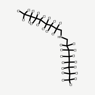 ClC(Cl)(Cl)C(Cl)(Cl)C(Cl)(Cl)C(Cl)(Cl)C(Cl)(Cl)C(Cl)(Cl)C(Cl)(Cl)CNCC(Cl)(Cl)C(Cl)(Cl)C(Cl)(Cl)C(Cl)(Cl)C(Cl)(Cl)C(Cl)(Cl)C(Cl)(Cl)Cl